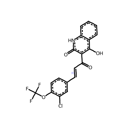 O=C(/C=C/c1ccc(OC(F)(F)F)c(Cl)c1)c1c(O)c2ccccc2[nH]c1=O